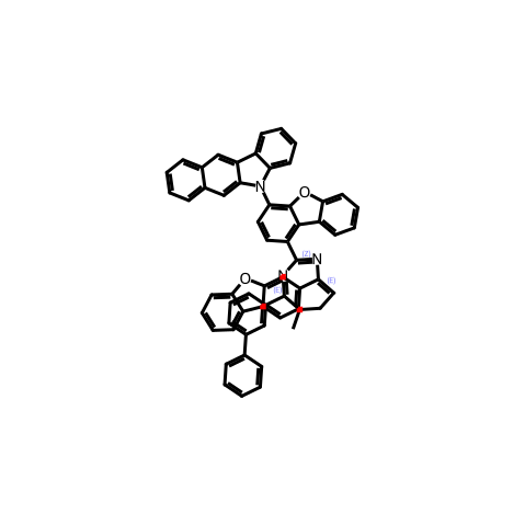 CC1C/C=C(c2ccc3c(c2)oc2ccccc23)/N=C(c2ccc(-n3c4ccccc4c4cc5ccccc5cc43)c3oc4ccccc4c23)\N=C/1c1cccc(-c2ccccc2)c1